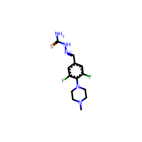 CN1CCN(c2c(F)cc(/C=N/NC(N)=S)cc2F)CC1